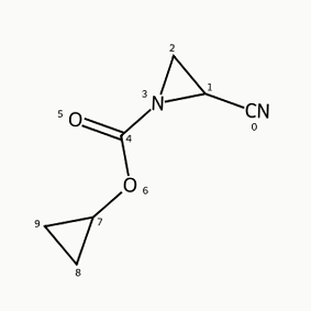 N#CC1CN1C(=O)OC1CC1